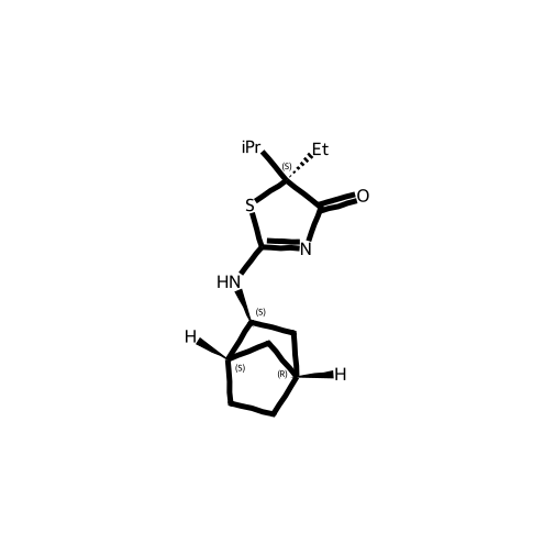 CC[C@@]1(C(C)C)SC(N[C@H]2C[C@@H]3CC[C@H]2C3)=NC1=O